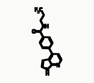 O=C(NCCC(F)(F)F)c1ccc(-c2ccnc3[nH]ccc23)cc1